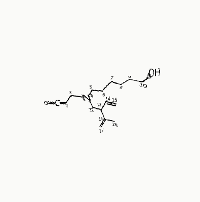 C=C=CCN(CCCCCCO)CC(C=C)C(=C)C